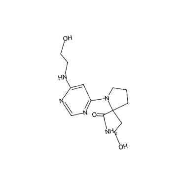 NC(=O)C1(CCO)CCCN1c1cc(NCCO)ncn1